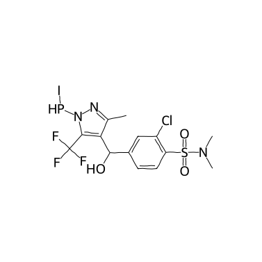 Cc1nn(PI)c(C(F)(F)F)c1C(O)c1ccc(S(=O)(=O)N(C)C)c(Cl)c1